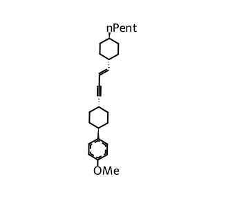 CCCCC[C@H]1CC[C@H](C=CC#C[C@H]2CC[C@H](c3ccc(OC)cc3)CC2)CC1